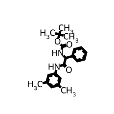 Cc1cc(C)cc(NC(=O)C(NC(=O)OC(C)(C)C)c2ccccc2)c1